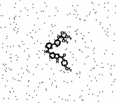 CC(C)[C@@H](C)Oc1ccnc(-c2ccnc(Nc3ccc4[nH]c(C(=O)N5CCN(C)CC5)cc4c3)n2)c1